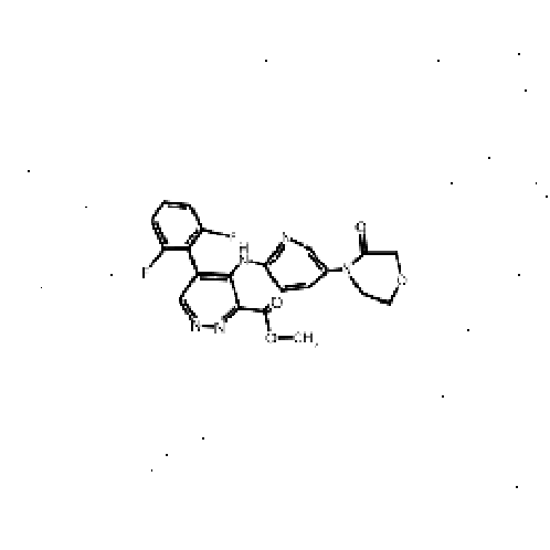 COC(=O)c1nncc(-c2c(F)cccc2F)c1Nc1ccc(N2CCOCC2=O)cn1